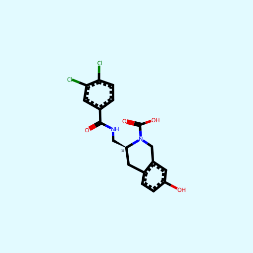 O=C(NC[C@@H]1Cc2ccc(O)cc2CN1C(=O)O)c1ccc(Cl)c(Cl)c1